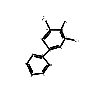 Cc1c(Cl)cc(-c2ccccc2)cc1Cl